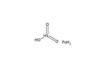 O=[SH](=O)O.[PoH2]